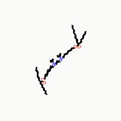 CCCCCCCCC(CCCCCC)C(=O)OCCCCCCCN(CCCN(CCCCCCCOC(=O)C(CCCCCC)CCCCCCCC)C(C)C)C(C)C